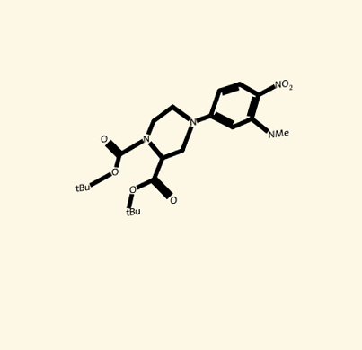 CNc1cc(N2CCN(C(=O)OC(C)(C)C)C(C(=O)OC(C)(C)C)C2)ccc1[N+](=O)[O-]